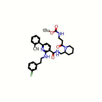 CC(C)(C)OC(=O)NCCC(=O)N1CCCCC1CNC(=O)c1ccc(-c2ccccc2C#N)nc1NCCc1cccc(F)c1